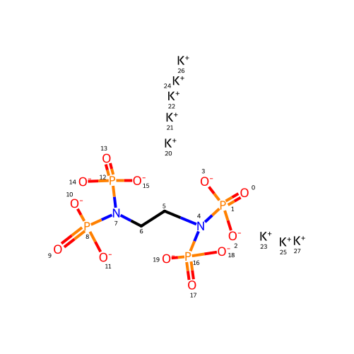 O=P([O-])([O-])N(CCN(P(=O)([O-])[O-])P(=O)([O-])[O-])P(=O)([O-])[O-].[K+].[K+].[K+].[K+].[K+].[K+].[K+].[K+]